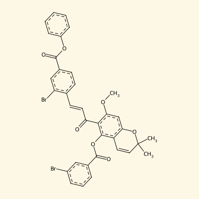 COc1cc2c(c(OC(=O)c3cccc(Br)c3)c1C(=O)/C=C/c1ccc(C(=O)Oc3ccccc3)cc1Br)C=CC(C)(C)O2